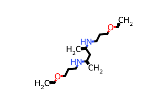 C=COCCCNC(=C)CC(=C)NCCCOC=C